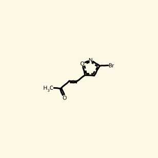 CC(=O)/C=C/c1cc(Br)no1